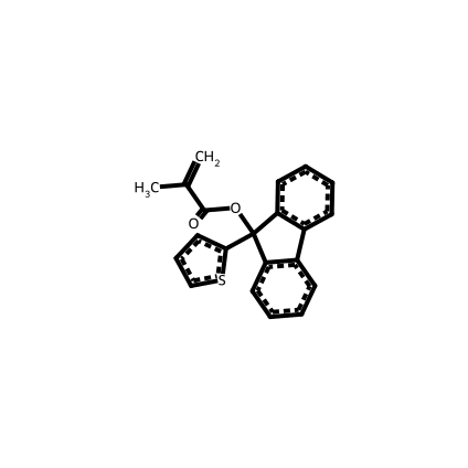 C=C(C)C(=O)OC1(c2cccs2)c2ccccc2-c2ccccc21